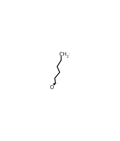 [CH2]CCCC[C]=O